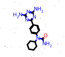 NC(=O)N(c1ccc(-c2nc(N)nc(N)n2)cc1)C1CCCCC1